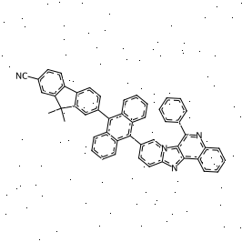 CC1(C)c2cc(C#N)ccc2-c2ccc(-c3c4ccccc4c(-c4ccc5nc6c7ccccc7nc(-c7ccccc7)c6n5c4)c4ccccc34)cc21